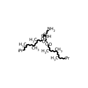 CC(C)CCCC(C)CCCC(C)CCCC(C)CCC(=O)OC[C@H](COP(=O)(O)OCCCN)OC(=O)CCC(C)CCCC(C)CCCC(C)CCCC(C)C